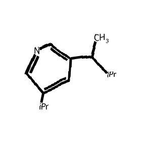 CC(C)c1cncc(C(C)C(C)C)c1